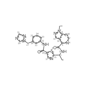 CC(NC(=O)c1ncnc2c1cnn2C)c1ncc(C(=O)Nc2cccc(Cn3cncn3)c2)s1